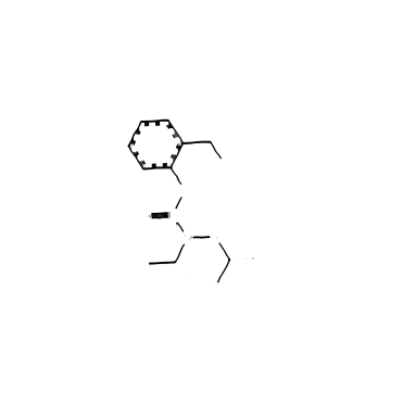 CCOC(=O)[C@H](C)NN([C@@H](C)C(=O)O)[PH](=O)Oc1ccccc1CO